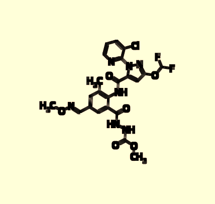 CON=Cc1cc(C)c(NC(=O)c2cc(OC(F)F)nn2-c2ncccc2Cl)c(C(=O)NNC(=O)OC)c1